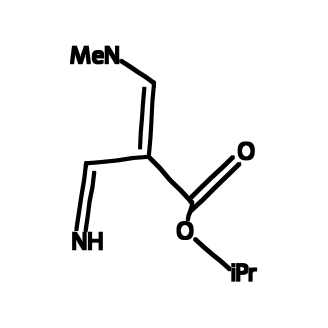 CN/C=C(\C=N)C(=O)OC(C)C